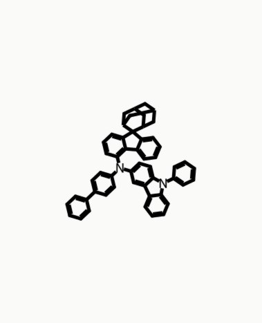 c1ccc(-c2ccc(N(c3ccc4c(c3)c3ccccc3n4-c3ccccc3)c3cccc4c3-c3ccccc3C43C4CC5CC(C4)CC3C5)cc2)cc1